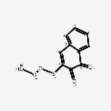 O=C1C(=O)c2ccccc2C=C1SOOO